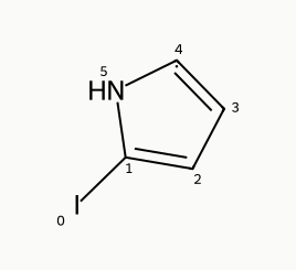 Ic1cc[c][nH]1